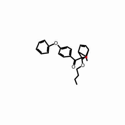 CCCCOC1(C(=O)c2ccc(Oc3ccccc3)cc2)CC2C=CC1C2(C)C